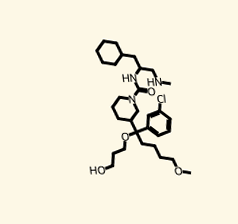 CNCC(CC1CCCCC1)NC(=O)N1CCCC(C(CCCCOC)(OCCCO)c2cccc(Cl)c2)C1